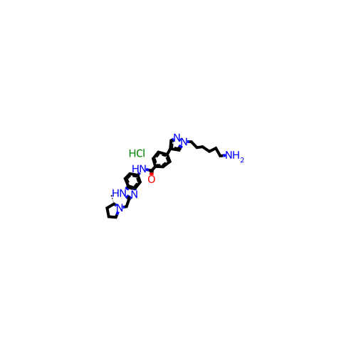 C[C@H]1CCCN1Cc1nc2cc(NC(=O)c3ccc(-c4cnn(CCCCCCN)c4)cc3)ccc2[nH]1.Cl